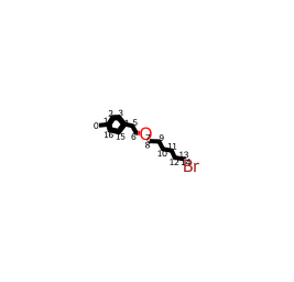 Cc1ccc(CCOCCCCCCBr)cc1